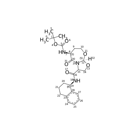 CC(C)(C)OC(=O)N[C@H]1CCO[C@H]2OCC(C(=O)N[C@@H]3CCCc4ccccc43)N2C1=O